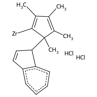 CC1=C(C)C(C)(C2C=Cc3ccccc32)[C]([Zr])=C1C.Cl.Cl